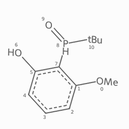 COc1cccc(O)c1[PH](=O)C(C)(C)C